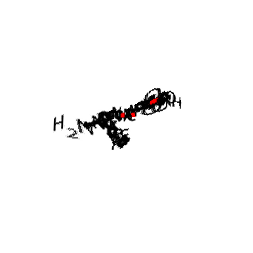 NCCCn1cc(-c2ccc(OCc3ncccc3F)cc2F)c2cc(CN3CCC(CN4CCN(c5ccc6c(c5)C(=O)N(C5CCC(=O)NC5=O)C6=O)CC4)CC3)ccc21